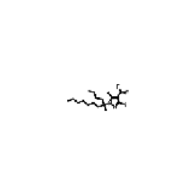 CCCCCCCC(C)(CCCC)n1nc(I)c(C(F)F)c1C